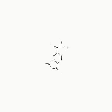 CN(C)C(=O)c1ccc2c(c1)C(=O)OC2=O